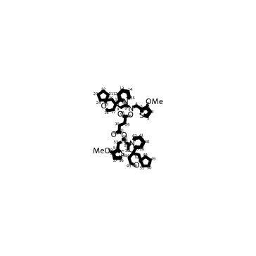 COc1ccsc1CN(CC[C@@]1(c2ccccn2)CCOC2(CCCC2)C1)OC(=O)CCC(=O)ON(CC[C@@]1(c2ccccn2)CCOC2(CCCC2)C1)Cc1sccc1OC